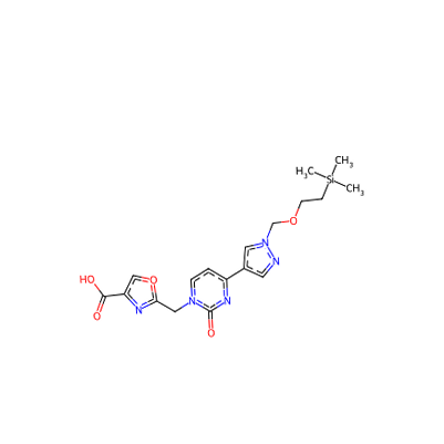 C[Si](C)(C)CCOCn1cc(-c2ccn(Cc3nc(C(=O)O)co3)c(=O)n2)cn1